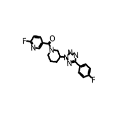 O=C(c1ccc(F)nc1)N1CCCC(n2nnc(-c3ccc(F)cc3)n2)C1